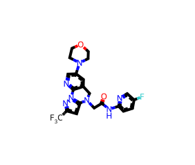 O=C(CN1Cc2cc(N3CCOCC3)cnc2-n2nc(C(F)(F)F)cc21)Nc1ccc(F)cn1